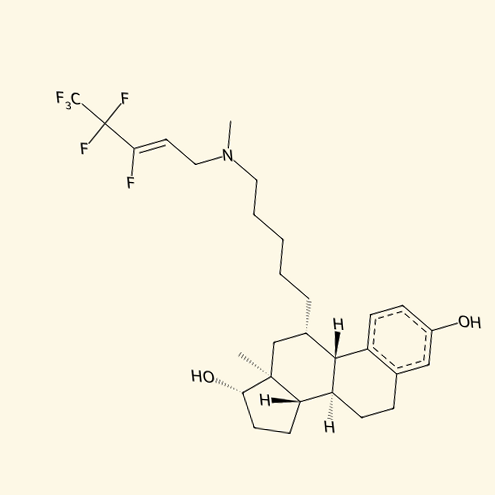 CN(CC=C(F)C(F)(F)C(F)(F)F)CCCCC[C@H]1C[C@]2(C)[C@@H](O)CC[C@H]2[C@@H]2CCc3cc(O)ccc3[C@@H]12